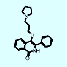 O=c1[nH]c(-c2ccccc2)c(OCCCN2CCCC2)c2ccccc12